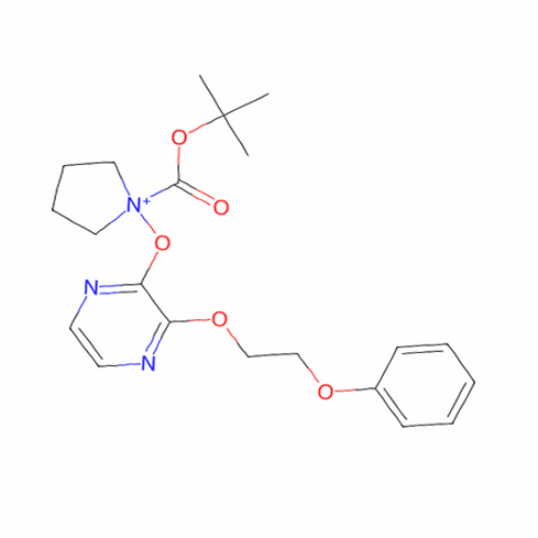 CC(C)(C)OC(=O)[N+]1(Oc2nccnc2OCCOc2ccccc2)CCCC1